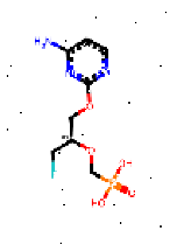 Nc1ccnc(OC[C@H](CF)OCP(=O)(O)O)n1